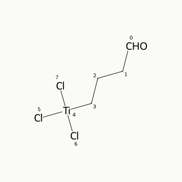 O=CCC[CH2][Ti]([Cl])([Cl])[Cl]